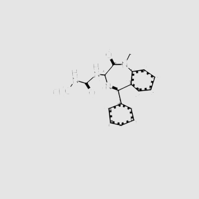 CN1C(=O)C(NC(=O)NC(Cl)(Cl)Cl)N=C(c2ccccc2)c2ccccc21